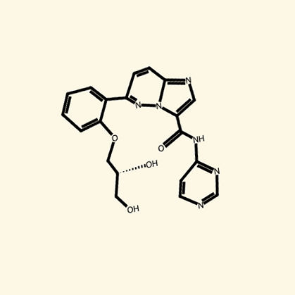 O=C(Nc1ccncn1)c1cnc2ccc(-c3ccccc3OC[C@H](O)CO)nn12